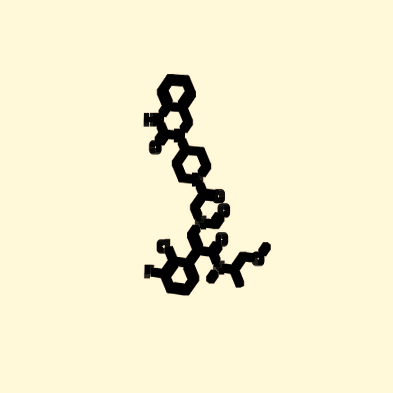 COCC(C)N(C)C(=O)/C(=C\N(C=O)CC(=O)N1CCC(N2Cc3ccccc3NC2=O)CC1)c1cccc(F)c1Cl